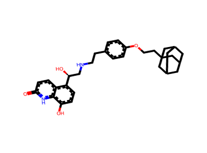 O=c1ccc2c([C@@H](O)CNCCc3ccc(OCCC45CC6CC(CC(C6)C4)C5)cc3)ccc(O)c2[nH]1